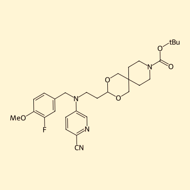 COc1ccc(CN(CCC2OCC3(CCN(C(=O)OC(C)(C)C)CC3)CO2)c2ccc(C#N)nc2)cc1F